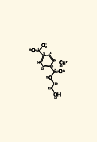 O=C([O-])c1ccc(C(=O)OCCO)cc1.[Cu+]